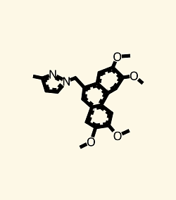 COc1cc2cc(Cn3ccc(C)n3)c3cc(OC)c(OC)cc3c2cc1OC